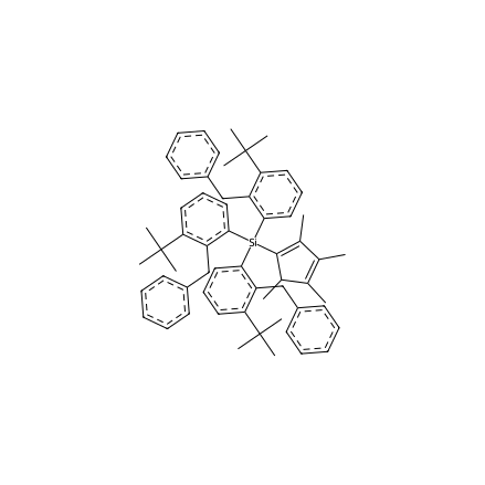 CC1=C(C)C(C)C([Si](c2cccc(C(C)(C)C)c2Cc2ccccc2)(c2cccc(C(C)(C)C)c2Cc2ccccc2)c2cccc(C(C)(C)C)c2Cc2ccccc2)=C1C